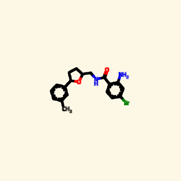 Cc1cccc(C2CCC(CNC(=O)c3ccc(Br)cc3N)O2)c1